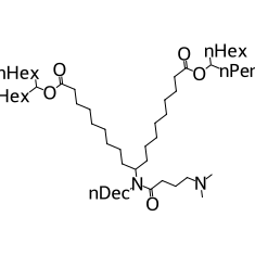 CCCCCCCCCCN(C(=O)CCCN(C)C)C(CCCCCCCCC(=O)OC(CCCCC)CCCCCC)CCCCCCCCC(=O)OC(CCCCCC)CCCCCC